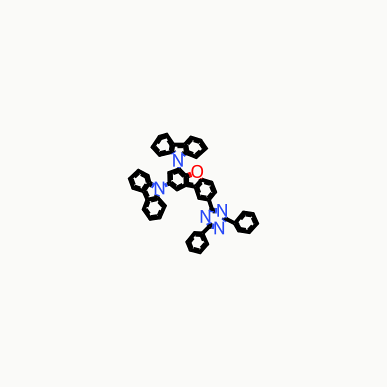 c1ccc(-c2nc(-c3ccccc3)nc(-c3ccc4oc5c(-n6c7ccccc7c7ccccc76)cc(-n6c7ccccc7c7ccccc76)cc5c4c3)n2)cc1